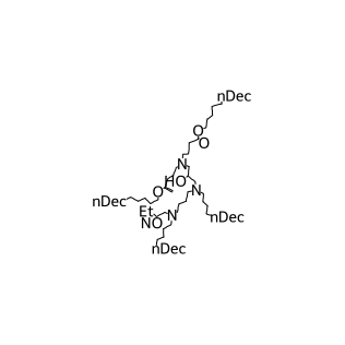 C=C(CCCN(CCCC(=O)OCCCCCCCCCCCCCCC)CC(O)CN(CCCCCCCCCCCCCC)CCCCN(CCCCCCCCCCCCCC)CC(CC)N=O)OCCCCCCCCCCCCCCC